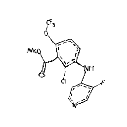 COC(=O)c1c(OC(F)(F)F)ccc(Nc2ccncc2F)c1Cl